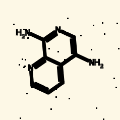 Nc1cnc(N)c2ncccc12